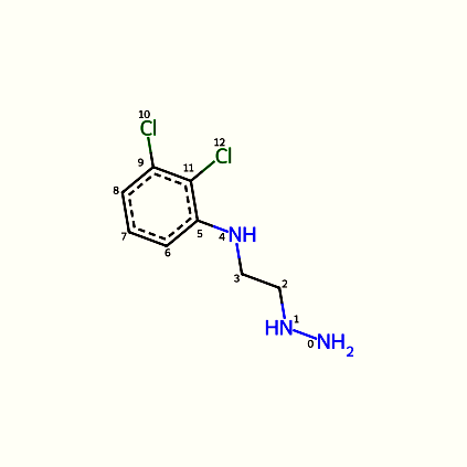 NNCCNc1cccc(Cl)c1Cl